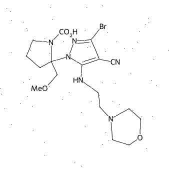 COCC1(n2nc(Br)c(C#N)c2NCCN2CCOCC2)CCCN1C(=O)O